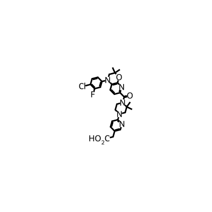 CC1(C)CN(c2ccc(Cl)c(F)c2)c2ccc(C(=O)N3CCN(c4ccc(CC(=O)O)cn4)CC3(C)C)nc2O1